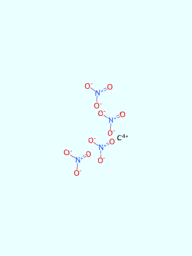 O=[N+]([O-])[O-].O=[N+]([O-])[O-].O=[N+]([O-])[O-].O=[N+]([O-])[O-].[C+4]